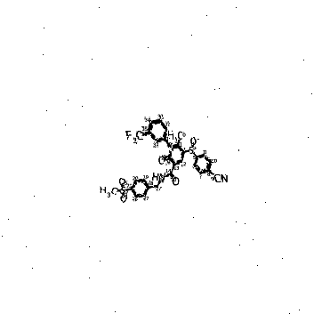 Cc1c([S+]([O-])c2ccc(C#N)cc2)cc(C(=O)NCc2ccc(S(C)(=O)=O)cc2)c(=O)n1-c1cccc(C(F)(F)F)c1